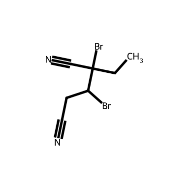 CCC(Br)(C#N)C(Br)CC#N